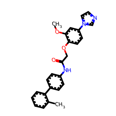 COc1cc(-n2ccnc2)ccc1OCC(=O)Nc1ccc(-c2ccccc2C)cc1